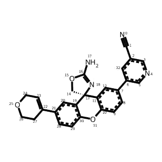 N#Cc1cncc(-c2ccc3c(c2)[C@@]2(COC(N)=N2)c2cc(C4=CCOCC4)ccc2O3)c1